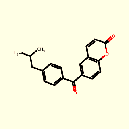 CC(C)Cc1ccc(C(=O)c2ccc3oc(=O)ccc3c2)cc1